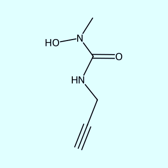 C#CCNC(=O)N(C)O